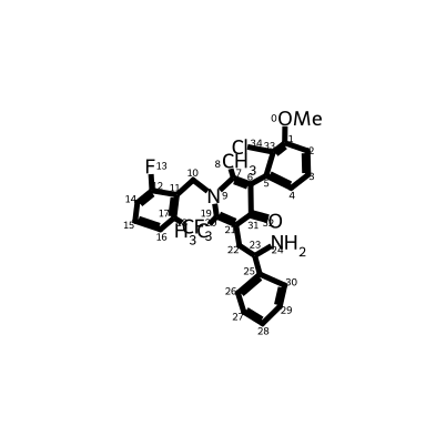 COc1cccc(-c2c(C)n(Cc3c(F)cccc3C(F)(F)F)c(C)c(CC(N)c3ccccc3)c2=O)c1Cl